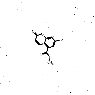 COC(=O)c1cc(Br)cc2oc(=O)ccc12